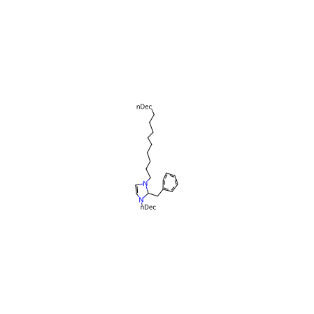 CCCCCCCCCCCCCCCCCCCN1C=CN(CCCCCCCCCC)C1Cc1ccccc1